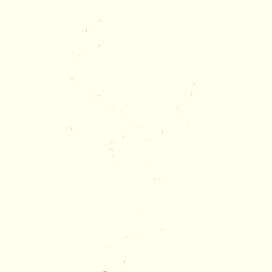 CC(CC(=O)C1C(C)C=CCC1(C)C)SCCC(=O)OCC(COC(=O)CCS)(COC(=O)CCS)COC(=O)CCSC(C)CC(=O)C1C(C)C=CCC1(C)C